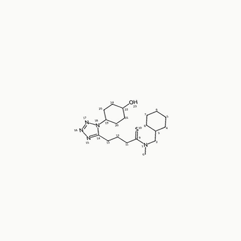 CN(CC1CCCCC1)C(=S)CCCc1nnnn1C1CCC(O)CC1